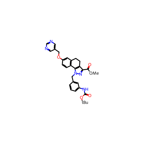 COC(=O)c1nn(Cc2cccc(NC(=O)OC(C)(C)C)c2)c2c1CCc1cc(OCc3cncnc3)ccc1-2